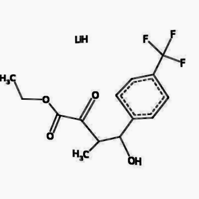 CCOC(=O)C(=O)C(C)C(O)c1ccc(C(F)(F)F)cc1.[LiH]